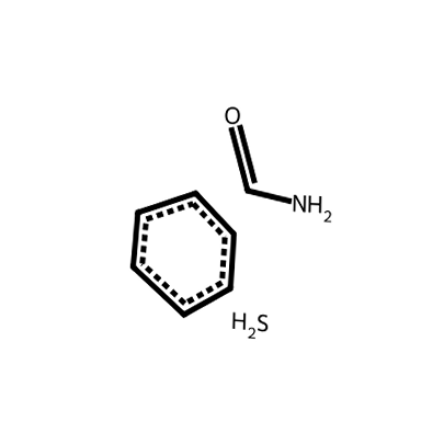 NC=O.S.c1ccccc1